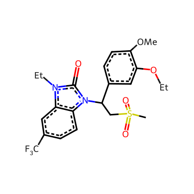 CCOc1cc(C(CS(C)(=O)=O)n2c(=O)n(CC)c3cc(C(F)(F)F)ccc32)ccc1OC